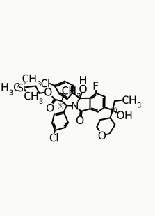 CC[C@@](O)(c1cc(F)c2c(c1)C(=O)N(C(c1ccc(Cl)cc1)[C@H](C)C(=O)OCC[Si](C)(C)C)C2(O)c1ccc(Cl)cc1)C1CCOCC1